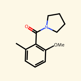 COc1cccc(C)c1C(=O)N1CCCC1